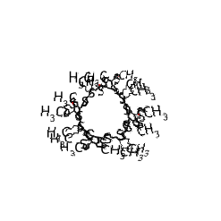 CCCCc1c(CCCC)c2sc1c1ccc(s1)c1c3cc(sc3c(-c3ccc(C)s3)c3cc(C)sc31)c1sc(c(CCCC)c1CCCC)c1cc3c(-c4ccc(C)s4)c4sc(C)cc4c(c4ccc(s4)c4sc(c(CCCC)c4CCCC)c4ccc(s4)c4c5cc(sc5c(-c5ccc(C)s5)c5cc(C)sc54)c4sc(c(CCCC)c4CCCC)c4cc5c(-c6ccc(C)s6)c6sc(C)cc6c(c6ccc2s6)c5s4)c3s1